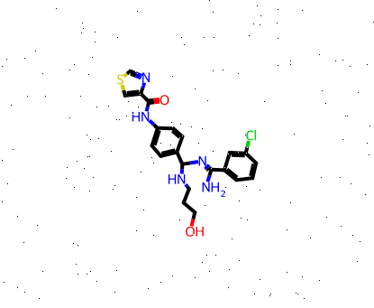 N/C(=N\C(NCCCO)c1ccc(NC(=O)c2cscn2)cc1)c1cccc(Cl)c1